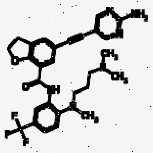 CN(C)CCCN(C)c1ccc(C(F)(F)F)cc1NC(=O)c1cc(C#Cc2cnc(N)nc2)cc2c1OCC2